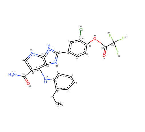 CCc1ccccc1Nc1c(C(N)=O)cnc2[nH]c(-c3ccc(OC(=O)C(F)(F)F)c(Cl)c3)nc12